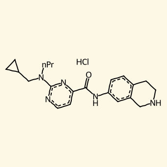 CCCN(CC1CC1)c1nccc(C(=O)Nc2ccc3c(c2)CNCC3)n1.Cl